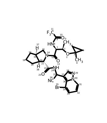 C[C@@H](OC1(C)CC1)[C@H](NC(=O)C(F)(F)F)C(=O)N1C[C@@H]2CCC[C@@H]2[C@H]1C(=O)NC(C#N)c1cnn2cccc(Br)c12